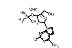 CC(C)(C)[Si](C)(C)OC1CC(n2ccc3c(N)nc(Cl)nc32)O[C@]1(C=O)CO